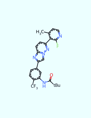 Cc1ccnc(F)c1-c1ccc2nc(-c3ccc(C(F)(F)F)c(NC(=O)C(C)(C)C)c3)cn2n1